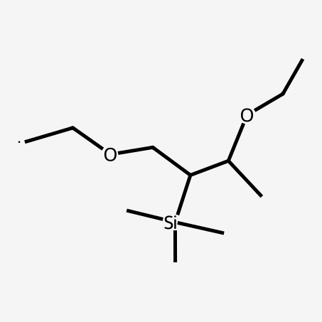 [CH2]COCC(C(C)OCC)[Si](C)(C)C